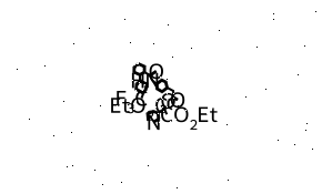 CCOC(=O)C(COC(=O)Cc1ccc(NC(=O)c2ccccc2-c2ccc(C(F)(F)F)cc2)cc1)(C(=O)OCC)c1cccnc1